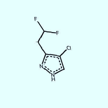 FC(F)[CH]c1n[nH]cc1Cl